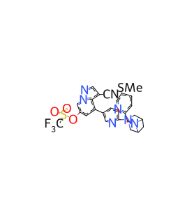 CSc1ccc(CN2C3CC2CN(c2ccc(-c4cc(OS(=O)(=O)C(F)(F)F)cn5ncc(C#N)c45)cn2)C3)nc1